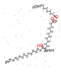 CCCCCCCCCCCCCCCCCC(=O)OC(=O)CCCCCCCCCCC(CCCCCC)C(O)CCCCCCCCCCCCCCC(C)C